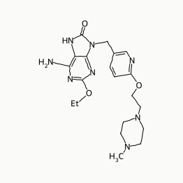 CCOc1nc(N)c2[nH]c(=O)n(Cc3ccc(OCCN4CCN(C)CC4)nc3)c2n1